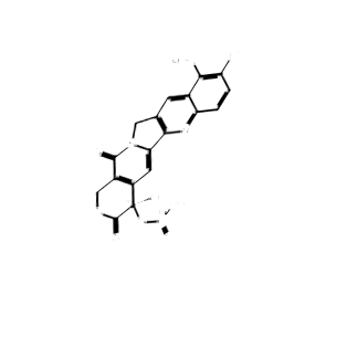 CCc1ccc2nc3c(cc2c1OC)Cn1c-3cc2c(c1=O)COC(=O)[C@@]2(CC)O[PH](=O)O